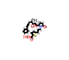 C[C@@H](CC#Cc1ccccc1)[C@H](O)C=CC1CCC(=O)N1CC=Cc1ccc(C(=O)O)s1